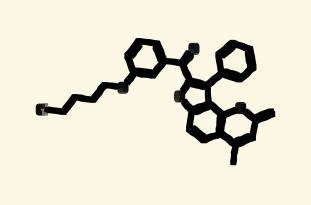 C=C1C=C(C)c2ccc3oc(C(=O)c4cccc(OCCCCCl)c4)c(-c4ccccc4)c3c2O1